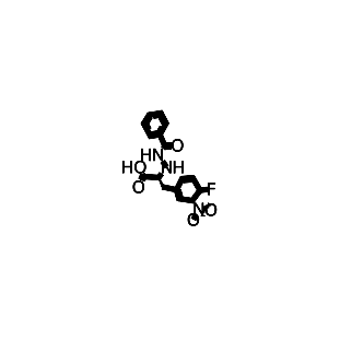 O=C(NN[C@@H](CC1=C[C@@H]([N+](=O)[O-])C(F)C=C1)C(=O)O)c1ccccc1